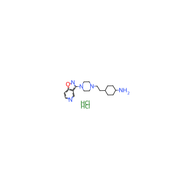 Cl.Cl.NC1CCC(CCN2CCN(c3noc4ccncc34)CC2)CC1